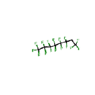 FC(F)(F)[C]C(F)(F)C(F)(F)C(F)(F)C(F)(F)C(F)(F)C(F)(F)F